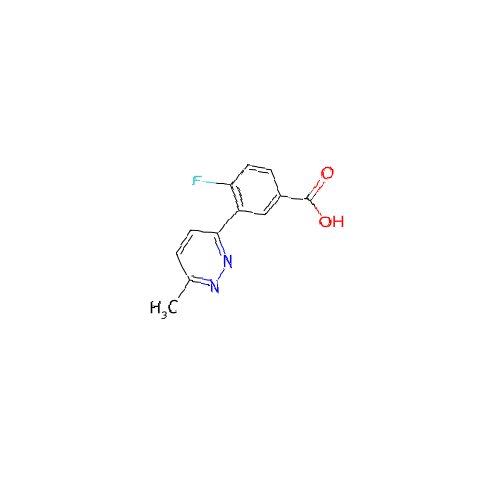 Cc1ccc(-c2cc(C(=O)O)ccc2F)nn1